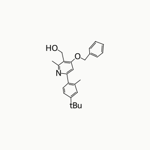 Cc1cc(C(C)(C)C)ccc1-c1cc(OCc2ccccc2)c(CO)c(C)n1